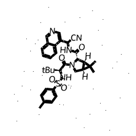 Cc1ccc(S(=O)(=O)N[C@H](C(=O)N2C[C@H]3[C@@H]([C@H]2C(=O)NC(C#N)c2cncc4ccccc24)C3(C)C)C(C)(C)C)cc1